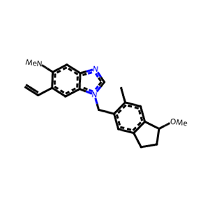 C=Cc1cc2c(cc1NC)ncn2Cc1cc2c(cc1C)C(OC)CC2